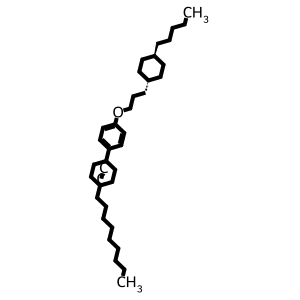 CCCCCCCCCC12CCC(c3ccc(OCCC[C@H]4CC[C@H](CCCCC)CC4)cc3)(CC1)CC2